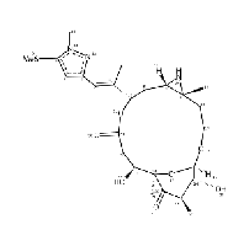 CSc1cc(/C=C(\C)[C@@H]2C[C@@H]3N[C@]3(C)CCC[C@@H]3C[C@@](C)(C(=O)[C@H](C)[C@H]3O)[C@@H](O)CC(=O)O2)nn1C